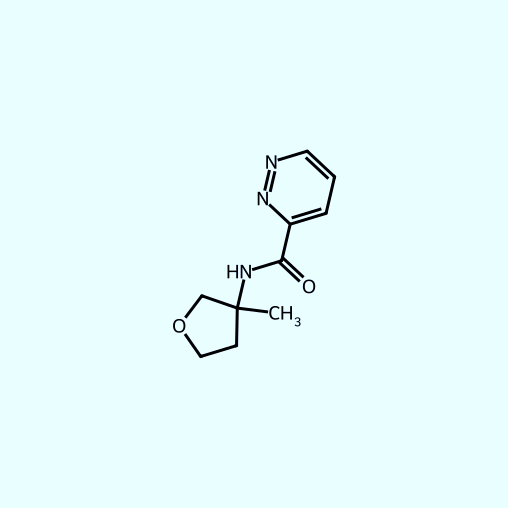 CC1(NC(=O)c2cccnn2)CCOC1